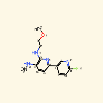 CCCOCCNc1nc(-c2ccc(F)nc2)ccc1NN=O